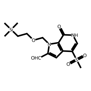 C[Si](C)(C)CCOCn1c(C=O)cc2c(S(C)(=O)=O)c[nH]c(=O)c21